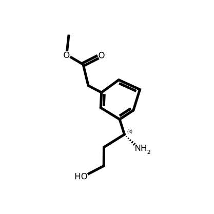 COC(=O)Cc1cccc([C@H](N)CCO)c1